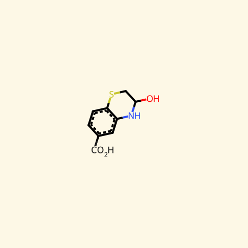 O=C(O)c1ccc2c(c1)NC(O)CS2